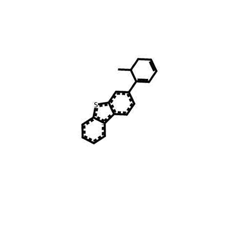 CC1CC=CC=C1c1ccc2c(c1)sc1ccccc12